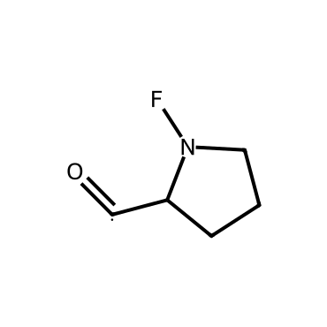 O=[C]C1CCCN1F